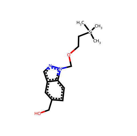 C[Si](C)(C)CCOCn1ncc2cc(CO)ccc21